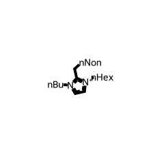 CCCCCCCCCCc1n(CCCC)cc[n+]1CCCCCC